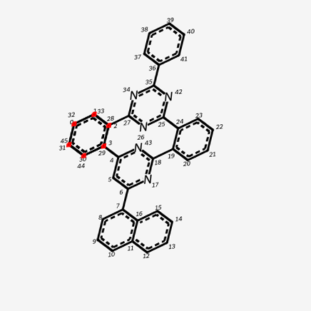 c1ccc(-c2cc(-c3cccc4ccccc34)nc(-c3ccccc3-c3nc(-c4ccccc4)nc(-c4ccccc4)n3)n2)cc1